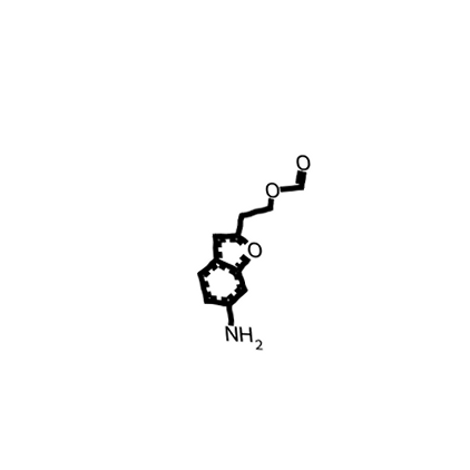 Nc1ccc2cc(CCOC=O)oc2c1